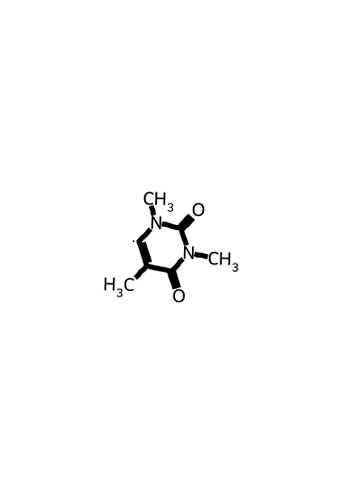 Cc1[c]n(C)c(=O)n(C)c1=O